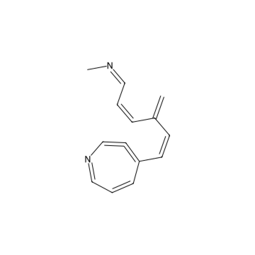 C=C(/C=C\C=N/C)/C=C\C1=C=CN=CC=C1